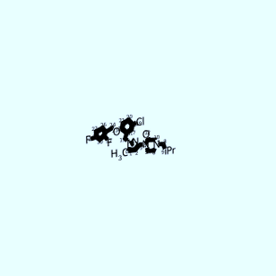 Cc1cc(N2CCN(CC(C)C)CC2=O)nn1Cc1cc(Cl)ccc1OCc1ccc(F)cc1F